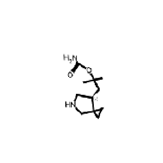 CC(C)(C[C@@H]1CNCC12CC2)OC(N)=O